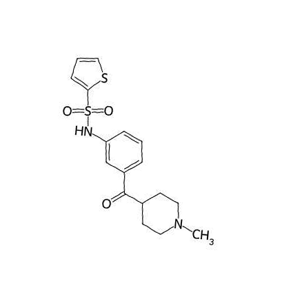 CN1CCC(C(=O)c2cccc(NS(=O)(=O)c3cccs3)c2)CC1